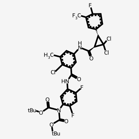 Cc1cc(NC(=O)[C@H]2[C@H](c3ccc(F)c(C(F)(F)F)c3)C2(Cl)Cl)cc(C(=O)Nc2cc(N(C(=O)OC(C)(C)C)C(=O)OC(C)(C)C)c(F)cc2F)c1Cl